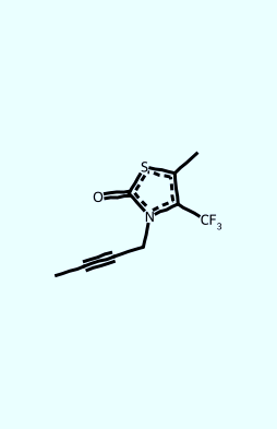 CC#CCn1c(C(F)(F)F)c(C)sc1=O